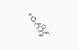 CC(C)c1ccc(C(C)NC(=O)C2CCCN2C(=O)C(N)C(C)(C)C)cc1